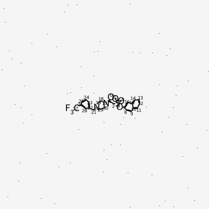 O=C(CS(=O)(=O)Oc1ccc2ccccc2c1)N1CCN(Cc2cccc(C(F)(F)F)c2)CC1